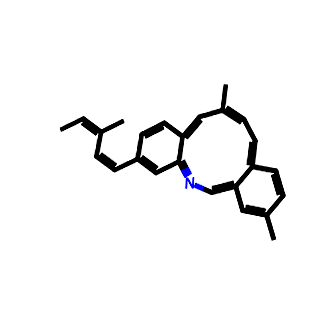 C/C=C(C)\C=C/c1ccc2cc(C)ccc3ccc(C)cc3cnc2c1